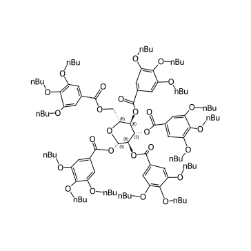 CCCCOc1cc(C(=O)OC[C@H]2O[C@@H](OC(=O)c3cc(OCCCC)c(OCCCC)c(OCCCC)c3)[C@H](OC(=O)c3cc(OCCCC)c(OCCCC)c(OCCCC)c3)[C@@H](OC(=O)c3cc(OCCCC)c(OCCCC)c(OCCCC)c3)[C@@H]2OC(=O)c2cc(OCCCC)c(OCCCC)c(OCCCC)c2)cc(OCCCC)c1OCCCC